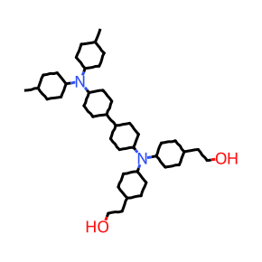 CC1CCC(N(C2CCC(C)CC2)C2CCC(C3CCC(N(C4CCC(CCO)CC4)C4CCC(CCO)CC4)CC3)CC2)CC1